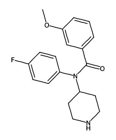 COc1cccc(C(=O)N(c2ccc(F)cc2)C2CCNCC2)c1